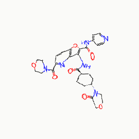 O=C(Nc1ccncc1)c1oc2ccc(C(=O)N3CCOCC3)nc2c1NC(=O)[C@H]1CC[C@H](N2CCOCC2=O)CC1